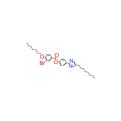 CCCCCCCCc1cnc(-c2ccc(OC(=O)c3ccc(OCCCCCCC)c(Br)c3)cc2)nc1